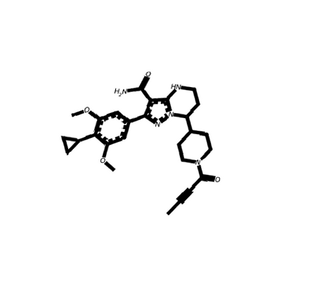 CC#CC(=O)N1CCC(C2CCNc3c(C(N)=O)c(-c4cc(OC)c(C5CC5)c(OC)c4)nn32)CC1